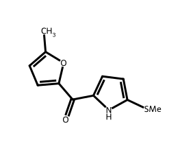 CSc1ccc(C(=O)c2ccc(C)o2)[nH]1